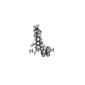 CCc1c(CN)c(C2=CC3=C(COC(=O)[C@]3(O)CC)C2)nc2ccc(OC(=O)OC(C)(C)C)cc12